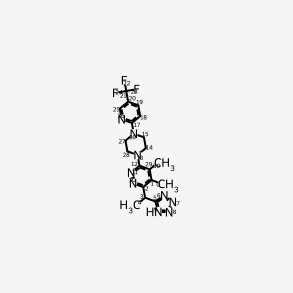 Cc1c(C(C)c2nnn[nH]2)nnc(N2CCN(c3ccc(C(F)(F)F)cn3)CC2)c1C